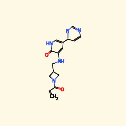 C=CC(=O)N1CC(CNc2cc(-c3ccncn3)c[nH]c2=O)C1